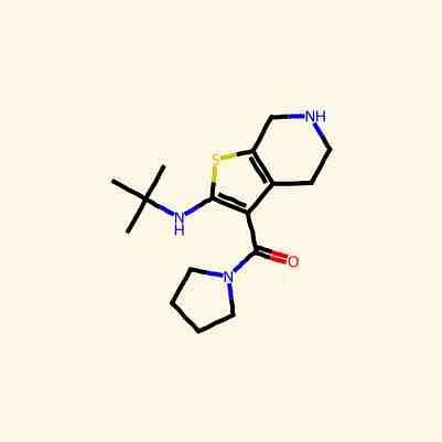 CC(C)(C)Nc1sc2c(c1C(=O)N1CCCC1)CCNC2